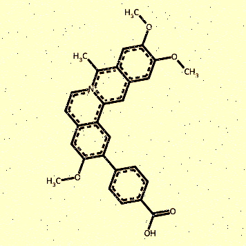 COc1cc2cc3c4cc(-c5ccc(C(=O)O)cc5)c(OC)cc4cc[n+]3c(C)c2cc1OC